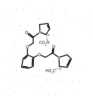 O=C(O)[C@H]1C=CCN1C(=O)COc1ccccc1OCC(=O)N1CC=C[C@@H]1C(=O)O